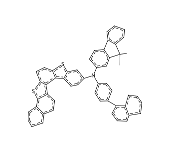 CC1(C)c2ccccc2-c2ccc(N(c3ccc(-c4cccc5ccccc45)cc3)c3ccc4c(c3)sc3ccc5sc6c7ccccc7ccc6c5c34)cc21